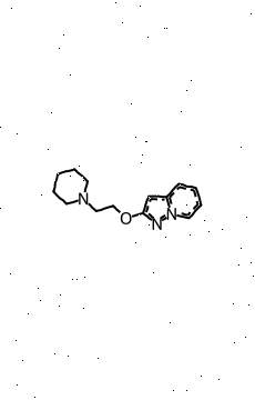 c1ccn2nc(OCCN3CCCCC3)cc2c1